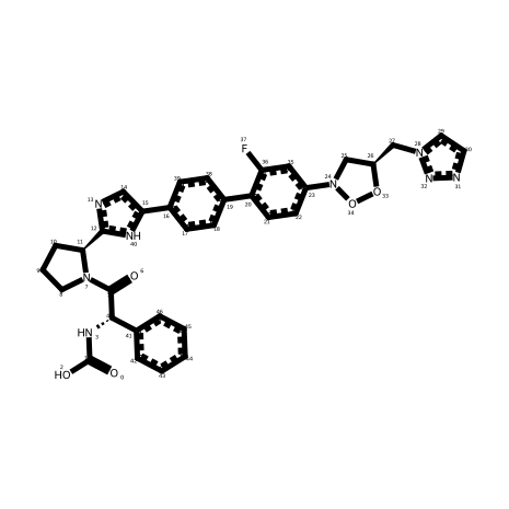 O=C(O)N[C@H](C(=O)N1CCC[C@H]1c1ncc(-c2ccc(-c3ccc(N4C[C@@H](Cn5ccnn5)OO4)cc3F)cc2)[nH]1)c1ccccc1